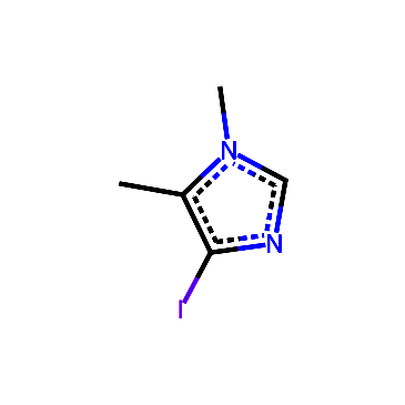 Cc1c(I)ncn1C